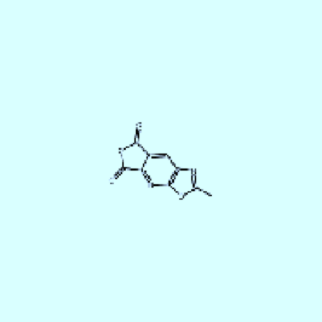 Cc1nc2cc3c(nc2o1)C(=O)OC3=O